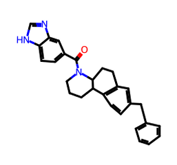 O=C(c1ccc2[nH]cnc2c1)N1CCCC2c3ccc(Cc4ccccc4)cc3CCC21